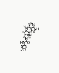 Cc1cnc(NC(=O)N2CC3C[C@@H](N(C)c4ncnc5[nH]ccc45)C[C@@H]3C2)s1